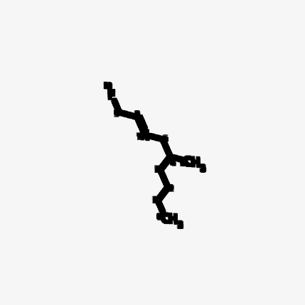 CCCCC(C)C/N=C/CF